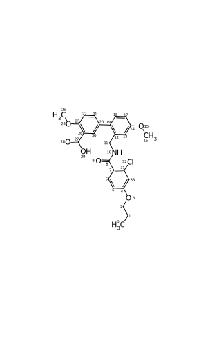 CCCOc1ccc(C(=O)NCc2cc(OC)ccc2-c2ccc(OC)c(C(=O)O)c2)c(Cl)c1